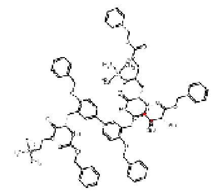 CC[C@@H](C)C(NC(=O)[C@H](Cc1cc(-c2ccc(OCc3ccccc3)c(C[C@H](NC(=O)OCc3ccccc3)C(=O)OCC[Si](C)(C)C)c2)ccc1OCc1ccccc1)NC(=O)[C@H](C[C@H](CNC(=O)OCc1ccccc1)O[Si](C)(C)C(C)(C)C)NC(=O)OC(C)(C)C)C(=O)OCc1ccccc1